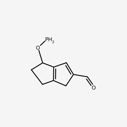 O=CC1=CC2=C(CCC2OP)C1